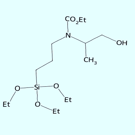 CCOC(=O)N(CCC[Si](OCC)(OCC)OCC)C(C)CO